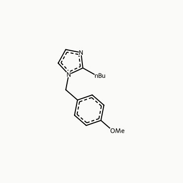 CCCCc1nccn1Cc1ccc(OC)cc1